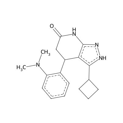 CN(C)c1ccccc1C1CC(=O)Nc2n[nH]c(C3CCC3)c21